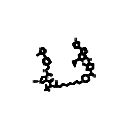 Cc1ncsc1-c1ccc(CNC(=O)[C@@H]2C[C@@H](O)CN2C(=O)[C@@H](NC(=O)CCCCCCCN2CCN(C(=O)c3ccc(Nc4nc(C5CC5)cn5c(-c6cn[nH]c6)cnc45)c(F)c3)CC2)C(C)(C)C)cc1